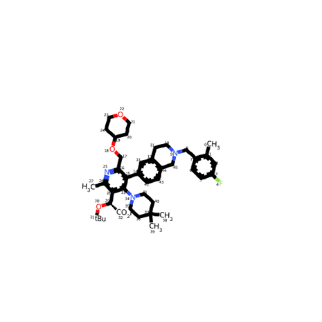 Cc1cc(F)ccc1CN1CCc2cc(-c3c(COC4CCOCC4)nc(C)c([C@H](OC(C)(C)C)C(=O)O)c3N3CCC(C)(C)CC3)ccc2C1